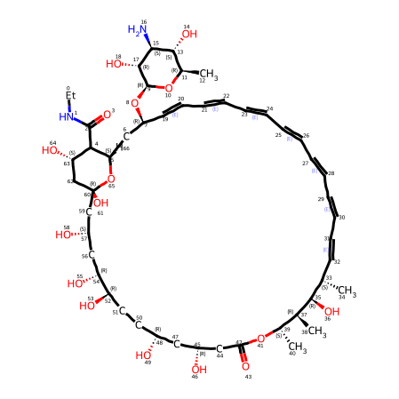 CCNC(=O)C1[C@@H]2C[C@@H](O[C@@H]3O[C@H](C)[C@@H](O)[C@H](N)[C@H]3O)/C=C/C=C/C=C/C=C/C=C/C=C/C=C/[C@H](C)[C@@H](O)[C@@H](C)[C@H](C)OC(=O)C[C@H](O)C[C@H](O)CC[C@@H](O)[C@H](O)C[C@H](O)C[C@](O)(C[C@@H]1O)O2